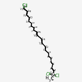 C[Si](Cl)(Cl)CCCCCCCCCCCCCCCCCCCCCCCl